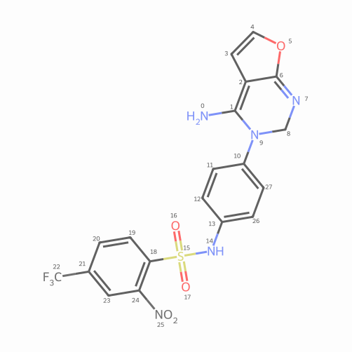 NC1=c2ccoc2=NCN1c1ccc(NS(=O)(=O)c2ccc(C(F)(F)F)cc2[N+](=O)[O-])cc1